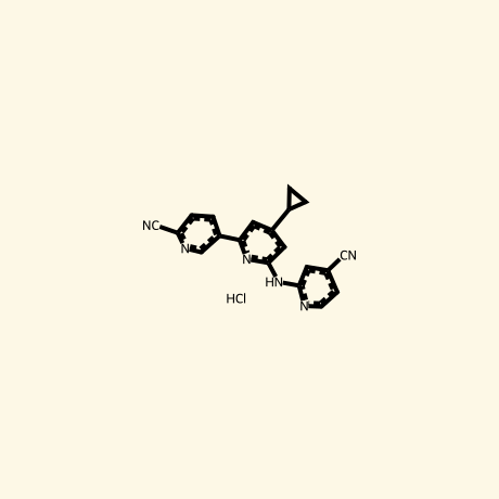 Cl.N#Cc1ccnc(Nc2cc(C3CC3)cc(-c3ccc(C#N)nc3)n2)c1